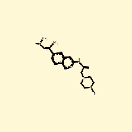 C=C(CN1CCN(CC)CC1)Nc1cc2cc(/C(N)=C/N(C)N)ccc2cn1